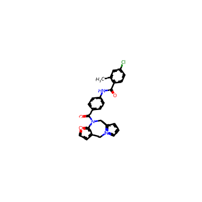 Cc1cc(Cl)ccc1C(=O)Nc1ccc(C(=O)N2Cc3cccn3Cc3ccoc32)cc1